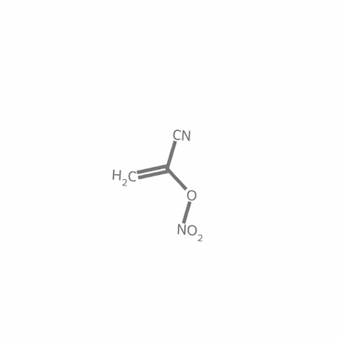 C=C(C#N)O[N+](=O)[O-]